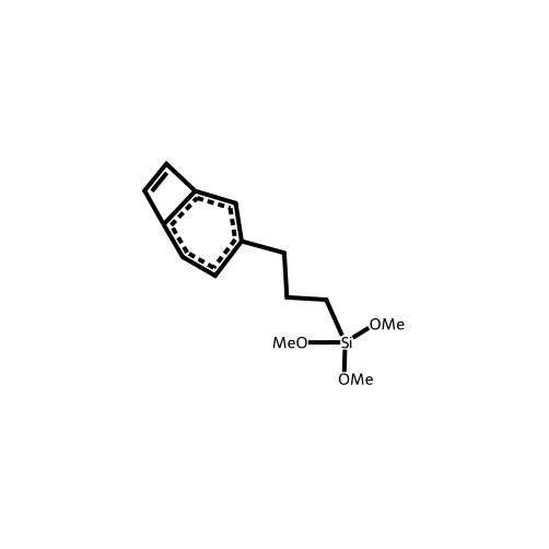 CO[Si](CCCc1ccc2c(c1)C=C2)(OC)OC